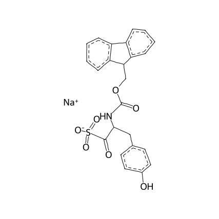 O=C(NC(Cc1ccc(O)cc1)C(=O)S(=O)(=O)[O-])OCC1c2ccccc2-c2ccccc21.[Na+]